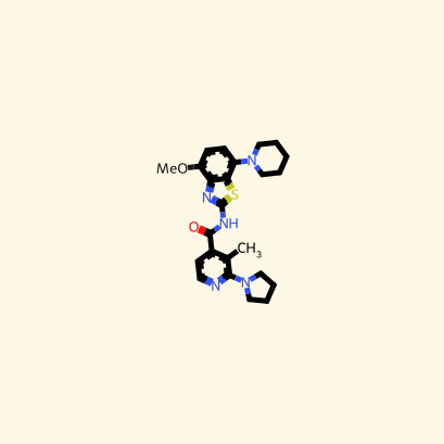 COc1ccc(N2CCCCC2)c2sc(NC(=O)c3ccnc(N4CCCC4)c3C)nc12